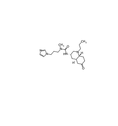 CCCN1C[C@@H](NC(=O)N(C)CCCn2ccnc2)C[C@@H]2CC(=O)CC[C@H]21